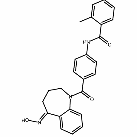 Cc1ccccc1C(=O)Nc1ccc(C(=O)N2CCCC(=NO)c3ccccc32)cc1